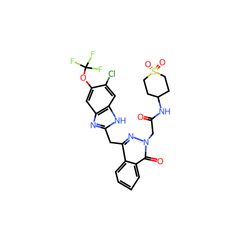 O=C(Cn1nc(Cc2nc3cc(OC(F)(F)F)c(Cl)cc3[nH]2)c2ccccc2c1=O)NC1CCS(=O)(=O)CC1